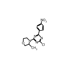 CC1COCCN1c1nc(Cl)nc(-c2ccc([N+](=O)[O-])cc2)n1